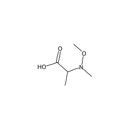 CON(C)C(C)C(=O)O